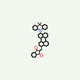 CC1(C)c2ccccc2N(c2ccc3c4ccc(C=C5C(=O)c6ccccc6C5=O)c5cccc(c6cccc2c63)c54)c2ccccc21